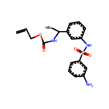 C=CCOC(=O)NC(CCCC)c1cccc(NS(=O)(=O)c2cccc(N)c2)c1